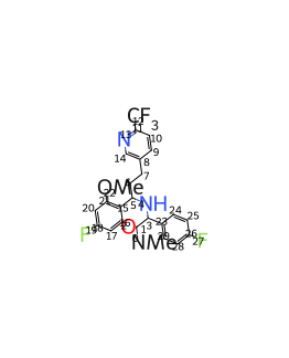 CNC(=O)C(NC(CCc1ccc(C(F)(F)F)nc1)c1ccc(F)cc1OC)c1ccc(F)cc1